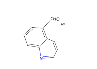 O=Cc1cccc2ncccc12.[H+]